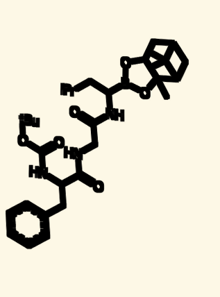 CC(C)CC(NC(=O)CNC(=O)C(Cc1ccccc1)NC(=O)OC(C)(C)C)B1OC2CC3CC(C3(C)C)C2(C)O1